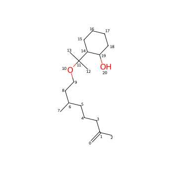 C=C(C)CCCC(C)CCOC(C)(C)C1CCCCC1O